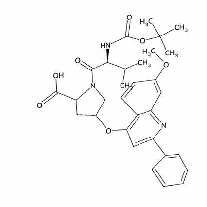 COc1ccc2c(OC3CC(C(=O)O)N(C(=O)[C@@H](NC(=O)OC(C)(C)C)C(C)C)C3)cc(-c3ccccc3)nc2c1